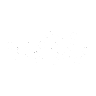 c1ccc(-c2ccc(-c3ccccc3)c(-c3cc(-c4cccc(-n5c6ccccc6c6cc(-c7cccc8c9ccccc9n(-c9ccccc9)c78)ccc65)c4)nc(-n4c5ccccc5c5cc(-c6cccc7c8ccccc8n(-c8ccccc8)c67)ccc54)n3)c2)cc1